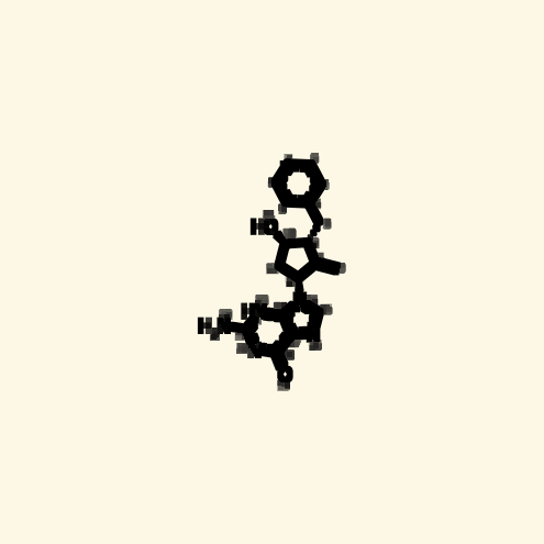 C=C1[C@@H](Cc2cc[c]cc2)[C@H](O)C[C@@H]1n1cnc2c(=O)nc(N)[nH]c21